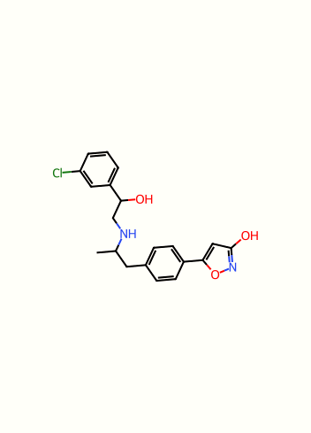 CC(Cc1ccc(-c2cc(O)no2)cc1)NCC(O)c1cccc(Cl)c1